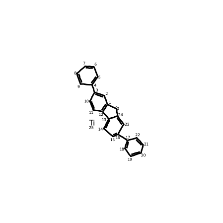 [CH]1c2cc(-c3ccccc3)ccc2-c2ccc(-c3ccccc3)cc21.[Ti]